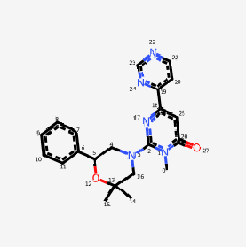 Cn1c(N2CC(c3ccccc3)OC(C)(C)C2)nc(-c2ccncn2)cc1=O